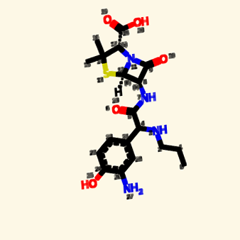 CCCNC(C(=O)N[C@@H]1C(=O)N2[C@@H]1SC(C)(C)[C@@H]2C(=O)O)c1ccc(O)c(N)c1